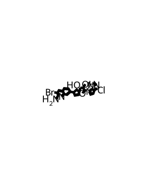 Nc1nc2cc(C3C=CC4(C3)OC(n3ccc5c(Cl)ncnc53)C(O)C4O)ccc2cc1Br